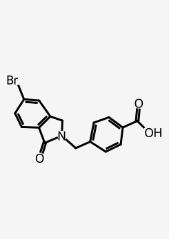 O=C(O)c1ccc(CN2Cc3cc(Br)ccc3C2=O)cc1